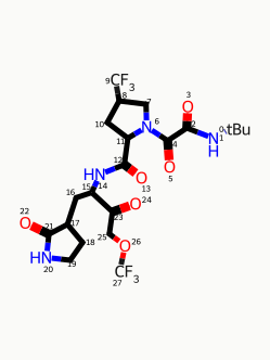 CC(C)(C)NC(=O)C(=O)N1CC(C(F)(F)F)CC1C(=O)NC(CC1CCNC1=O)C(=O)COC(F)(F)F